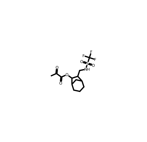 CC(=O)C(=O)OC1C2CCCC(C2)C1CNS(=O)(=O)C(F)(F)F